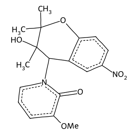 COc1cccn(C2c3cc([N+](=O)[O-])ccc3OC(C)(C)C2(C)O)c1=O